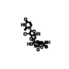 C=C1NC(=O)C=CN1[C@@H]1O[C@](CC)(COP(=O)(O)OP(=O)(O)OP(=O)(O)O)[C@@H](O)[C@H]1Cl